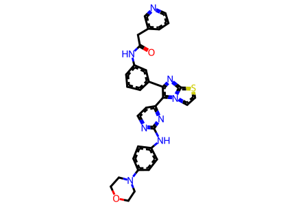 O=C(Cc1cccnc1)Nc1cccc(-c2nc3sccn3c2-c2ccnc(Nc3ccc(N4CCOCC4)cc3)n2)c1